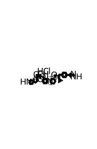 CC(C)(Oc1cccc(N2CCC[C@@H](C(=O)N(Cc3ccc(-c4cn[nH]c4)cc3)C3CC3)C2)c1)C(=O)N1CCC2(CCNC2)C1.Cl